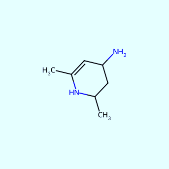 CC1=CC(N)CC(C)N1